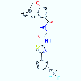 C[C@@]1(C#N)CCOc2ccc(C(=O)NCC(=O)Nc3nc(-c4cccc([C@@H]5CC5(F)F)c4)cs3)cc21